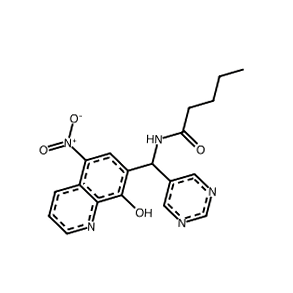 CCCCC(=O)NC(c1cncnc1)c1cc([N+](=O)[O-])c2cccnc2c1O